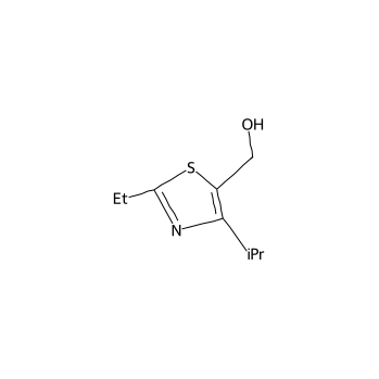 CCc1nc(C(C)C)c(CO)s1